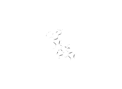 COc1cc(N2CCSCC2)c(-c2cnn(C)c2)cc1Nc1ncc(Cl)c(Nc2ccccc2NS(C)(=O)=O)n1